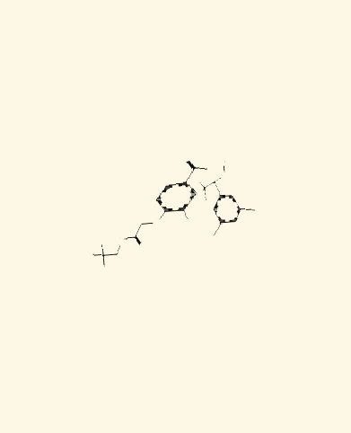 C=C(C[C@](ON)(c1cc(Cl)cc(Cl)c1)C(F)(F)F)c1ccc(SCC(=O)NCC(F)(F)F)c(C)c1